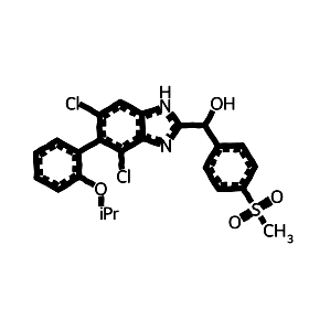 CC(C)Oc1ccccc1-c1c(Cl)cc2[nH]c(C(O)c3ccc(S(C)(=O)=O)cc3)nc2c1Cl